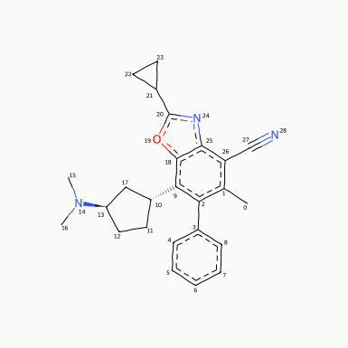 Cc1c(-c2ccccc2)c([C@@H]2CC[C@@H](N(C)C)C2)c2oc(C3CC3)nc2c1C#N